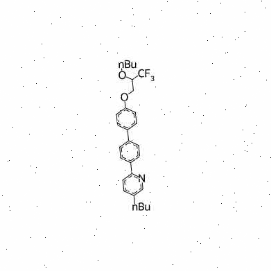 CCCCOC(COc1ccc(-c2ccc(-c3ccc(CCCC)cn3)cc2)cc1)C(F)(F)F